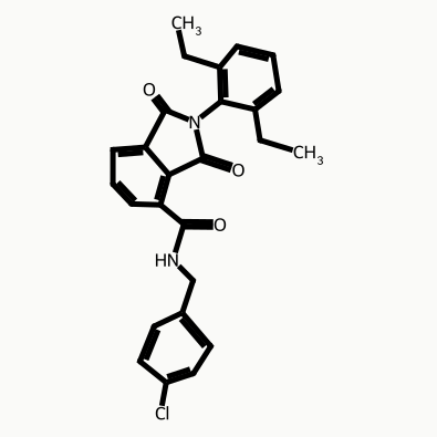 CCc1cccc(CC)c1N1C(=O)c2cccc(C(=O)NCc3ccc(Cl)cc3)c2C1=O